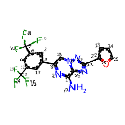 Nc1nc(-c2cc(C(F)(F)F)cc(C(F)(F)F)c2)cn2nc(-c3ccco3)nc12